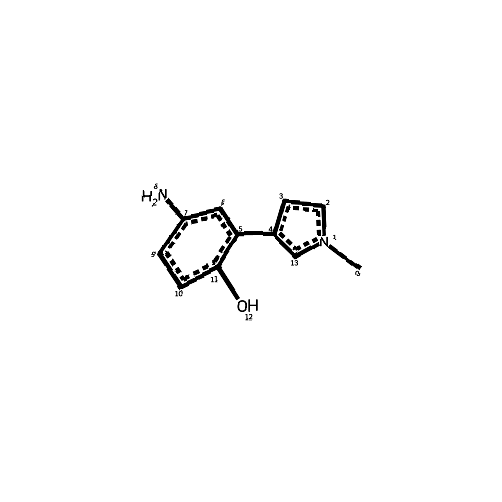 Cn1ccc(-c2cc(N)ccc2O)c1